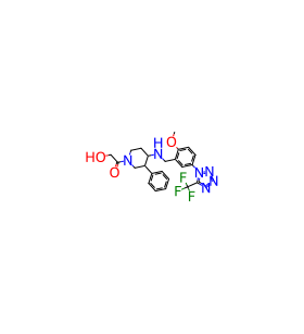 COc1ccc(-n2nnnc2C(F)(F)F)cc1CNC1CCN(C(=O)CO)CC1c1ccccc1